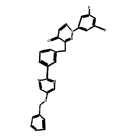 O=c1ccn(-c2cc(F)cc(F)c2)nc1Cc1cccc(-c2ncc(OCc3ccccc3)cn2)c1